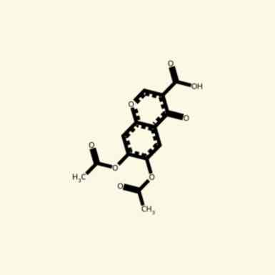 CC(=O)Oc1cc2occ(C(=O)O)c(=O)c2cc1OC(C)=O